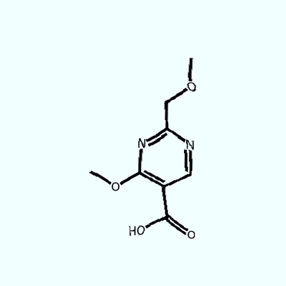 COCc1ncc(C(=O)O)c(OC)n1